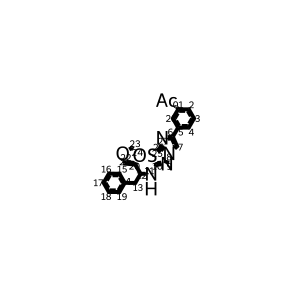 CC(=O)c1cccc(-c2cn3nc(NC(Cc4ccccc4)C4=COCO4)sc3n2)c1